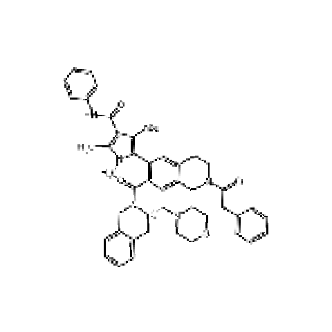 CCCCc1c(C(=O)Nc2ccccc2)c(C)n(C)c1-c1cc2c(cc1C(=O)N1Cc3ccccc3C[C@H]1CN1CCOCC1)CN(C(=O)Cc1ccccc1)CC2